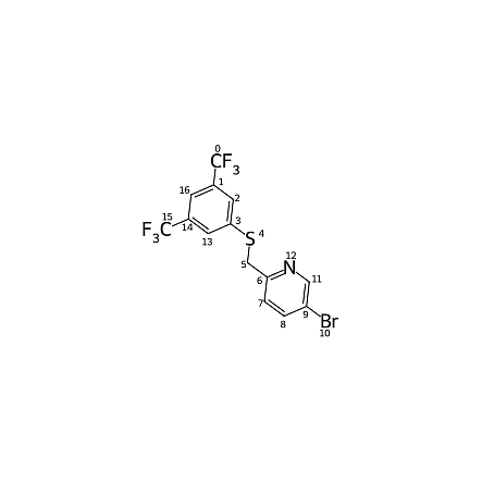 FC(F)(F)c1cc(SCc2ccc(Br)cn2)cc(C(F)(F)F)c1